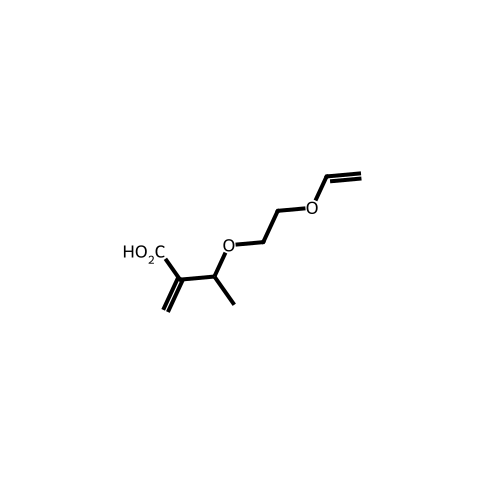 C=COCCOC(C)C(=C)C(=O)O